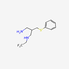 NCC(CNCC(F)(F)F)CSc1ccccc1